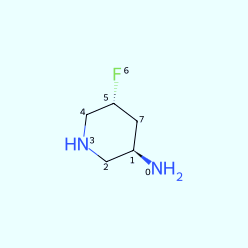 N[C@H]1CNC[C@H](F)C1